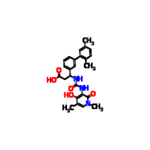 Cc1ccc(C)c(-c2cccc(C(CC(=O)O)NC(=O)Nc3c(O)c(C)cn(C)c3=O)c2)c1